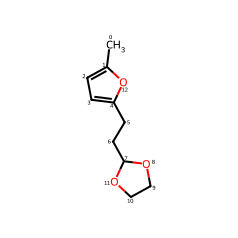 Cc1ccc(CCC2OCCO2)o1